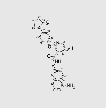 Nc1nccc2cc(CNC(=O)c3cc(Cl)cnc3Oc3ccc(N4CCCC4=O)cc3)ccc12